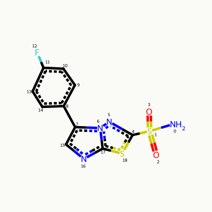 NS(=O)(=O)c1nn2c(-c3ccc(F)cc3)cnc2s1